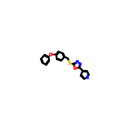 c1ccc(Oc2ccc(CSc3nnc(-c4ccncc4)o3)cc2)cc1